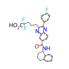 O=C(N[C@@H]1CCCc2ccccc21)c1ccc2nc(-c3ccc(F)cc3)c(CCCC(F)(F)C(=O)O)nc2c1